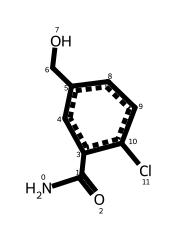 NC(=O)c1cc(CO)ccc1Cl